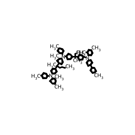 CCCCC(C)(c1ccc(N(c2ccc(C)cc2)c2ccc(C)cc2C)cc1)c1ccc(N(c2ccc(C(C)(CC)c3ccc(N(c4ccc(-c5ccc(C)cc5)cc4)c4ccc(C)cc4C)cc3)cc2)c2ccc(C)cc2C)cc1